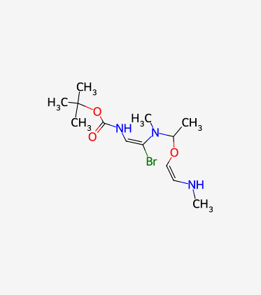 CN/C=C\OC(C)N(C)/C(Br)=C\NC(=O)OC(C)(C)C